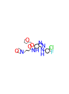 O=C(/C=C/CN1CCOCC1)Nc1cc2c(Nc3ccc(F)c(Cl)c3)ncnc2cc1OCC1CCCO1